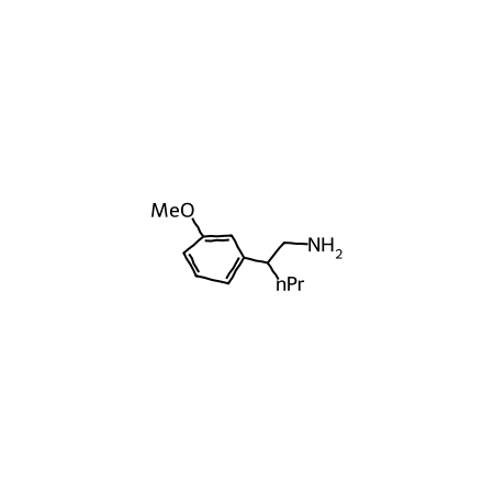 CCCC(CN)c1cccc(OC)c1